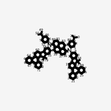 CC(C)c1ccc(N(c2ccc3c(c2)-c2ccc4c5ccccc5c5ccccc5c4c2C3(C)C)c2ccc3ccc4c(N(c5ccc(C(C)C)cc5)c5ccc6c(c5)-c5ccc7c8ccccc8c8ccccc8c7c5C6(C)C)ccc5ccc2c3c54)cc1